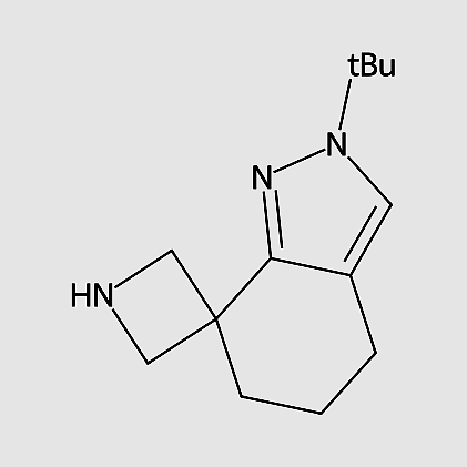 CC(C)(C)n1cc2c(n1)C1(CCC2)CNC1